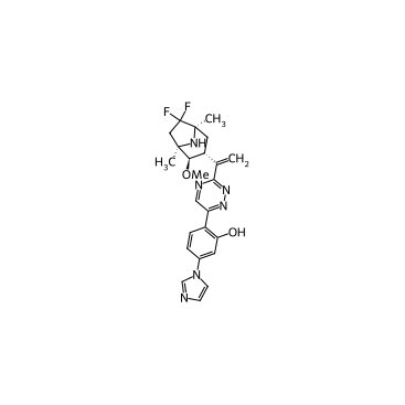 C=C(c1ncc(-c2ccc(-n3ccnc3)cc2O)nn1)[C@H]1C[C@@]2(C)N[C@](C)(CC2(F)F)[C@@H]1OC